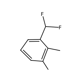 Cc1cccc(C(F)F)c1C